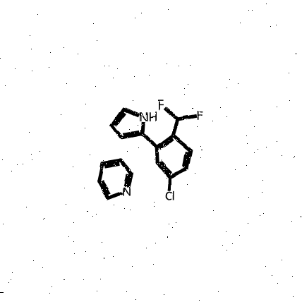 FC(F)c1ccc(Cl)cc1-c1ccc[nH]1.c1ccncc1